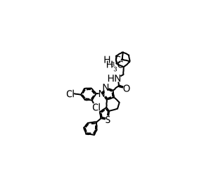 CC1(C)C2CCC(CNC(=O)c3nn(-c4ccc(Cl)cc4Cl)c4c3CCc3sc(-c5ccccc5)cc3-4)C1C2